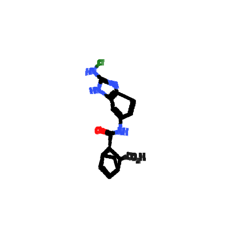 O=C(Nc1ccc2nc(NCl)[nH]c2c1)[C@@H]1C2C=CC(C2)[C@@H]1C(=O)O